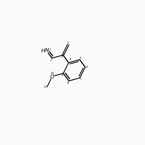 C=C(C=N)c1ccccc1OC